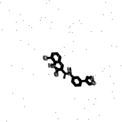 C[C@H](Nc1cccc(-c2cnoc2)c1)c1cc2cccc(Cl)c2[nH]c1=O